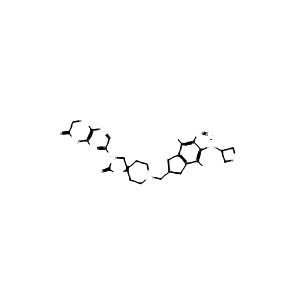 O=C1COc2ncc(N3CC4(CCN(CC5Cc6c(c(F)c7c(nnn7C7CNC7)c6F)C5)CC4)OC3=O)nc2N1